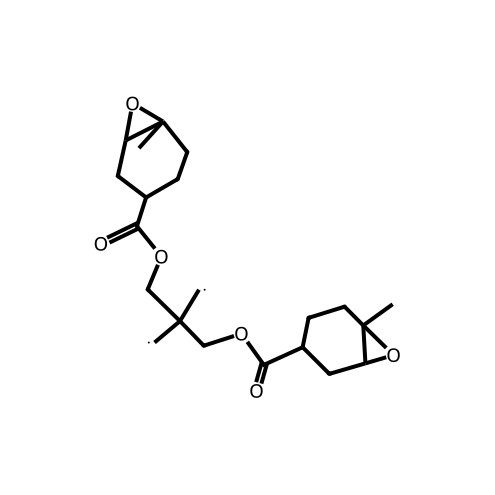 [CH2]C([CH2])(COC(=O)C1CCC2(C)OC2C1)COC(=O)C1CCC2(C)OC2C1